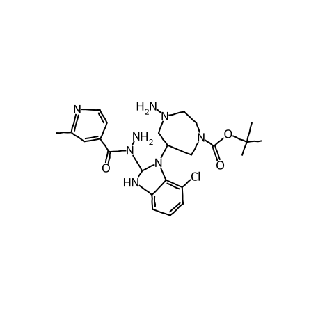 Cc1cc(C(=O)N(N)C2Nc3cccc(Cl)c3N2C2CN(N)CCN(C(=O)OC(C)(C)C)C2)ccn1